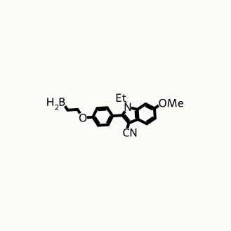 BCCOc1ccc(-c2c(C#N)c3ccc(OC)cc3n2CC)cc1